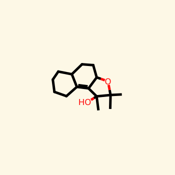 CC1(C)OC2CCC3CCCCC3=C2C1(C)O